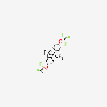 C/C(F)=C(/F)Oc1ccc(C(c2ccc(OC(F)=C(F)F)cc2)(C(F)(F)F)C(F)(F)F)cc1